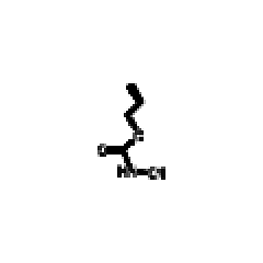 C=CCOC(=O)NC#N